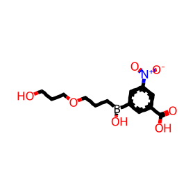 O=C(O)c1cc(B(O)CCCOCCCO)cc([N+](=O)[O-])c1